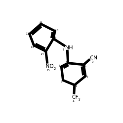 N#CC1=CC(C(F)(F)F)CC=C1Nc1ccccc1[N+](=O)[O-]